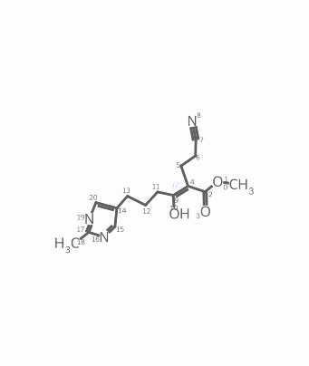 COC(=O)/C(CCC#N)=C(\O)CCCc1cnc(C)nc1